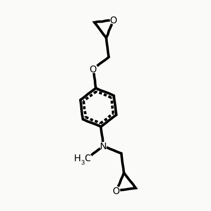 CN(CC1CO1)c1ccc(OCC2CO2)cc1